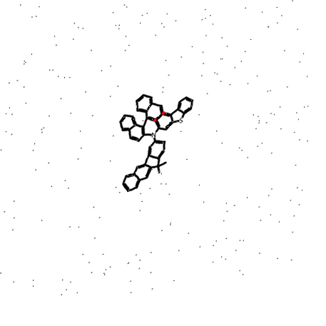 CC1(C)c2ccc(N(c3ccc4c(c3)sc3ccccc34)c3ccc4ccccc4c3-c3cccc4ccccc34)cc2-c2cc3ccccc3cc21